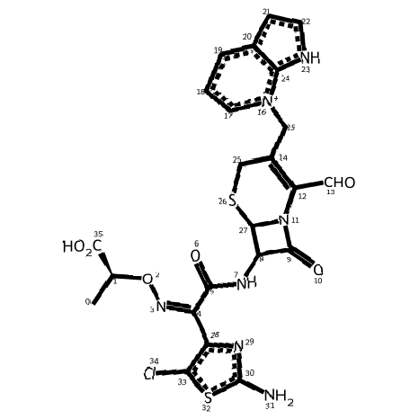 C[C@H](O/N=C(\C(=O)NC1C(=O)N2C(C=O)=C(C[n+]3cccc4cc[nH]c43)CSC12)c1nc(N)sc1Cl)C(=O)O